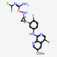 COc1cnc2c(Nc3ccc(F)c([C@H]4C[C@H]4NO/C(N)=N\C(F)F)c3)ncc(F)c2c1